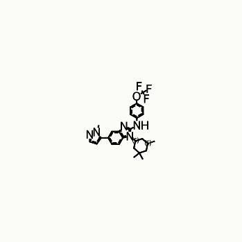 C[C@@H]1C[C@H](n2c(Nc3ccc(OC(F)(F)F)cc3)nc3cc(-c4ccnn4C)ccc32)CC(C)(C)C1